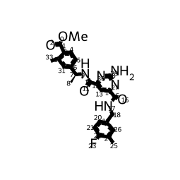 COC(=O)c1ccc([C@H](C)NC(=O)c2cc(C(=O)NCc3ccc(F)c(C)c3)nc(N)n2)cc1C